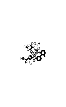 CSc1sc(C(=N)N)cc1S(=O)(=O)c1cccc(-c2c(C)cccc2NC(=O)CSC(CC(=O)O)C(=O)OC(=O)C(F)(F)F)c1